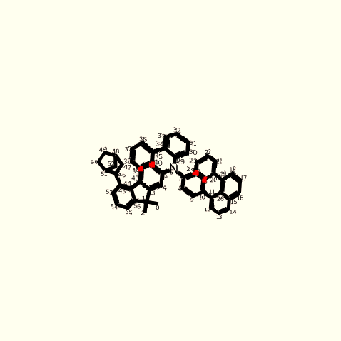 CC1(C)c2cc(N(c3ccc(-c4cccc5cccc(-c6ccccc6)c45)cc3)c3ccccc3-c3ccccc3)ccc2-c2c(C3CC4CCC3C4)cccc21